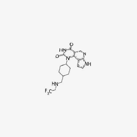 O=c1[nH]c(=O)n(C2CCC(CNCC(F)(F)F)CC2)c2c1cnc1[nH]ccc12